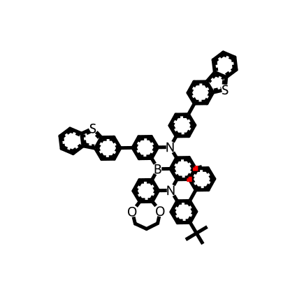 Cc1cc2c3c(c1)N(c1ccc(C(C)(C)C)cc1-c1ccccc1)c1c(ccc4c1OCCCO4)B3c1cc(-c3ccc4c(c3)sc3ccccc34)ccc1N2c1ccc(-c2ccc3c(c2)sc2ccccc23)cc1